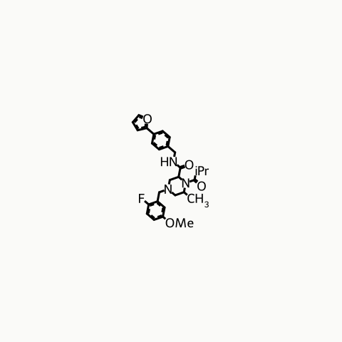 COc1ccc(F)c(CN2CC(C)N(C(=O)C(C)C)C(C(=O)NCc3ccc(-c4ccco4)cc3)C2)c1